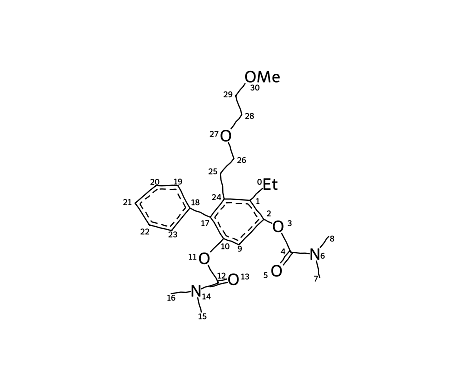 CCc1c(OC(=O)N(C)C)cc(OC(=O)N(C)C)c(-c2ccccc2)c1CCOCCOC